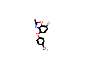 Cc1nc2c(Oc3ccc(C(F)(F)F)cc3)ccc(Br)c2o1